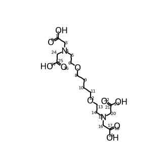 O=C(O)CN(CCOCCCCOCCN(CC(=O)O)CC(=O)O)CC(=O)O